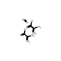 C=C(C)C(=O)[O-].C=C(C)C(=O)[O-].[O]=[Zr+2]